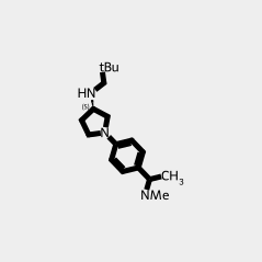 CNC(C)c1ccc(N2CC[C@H](NCC(C)(C)C)C2)cc1